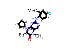 CC[C@@H]1C(=O)N(C)c2cnc(Nc3ccc(F)cc3OC)nc2N1C1CCCC1